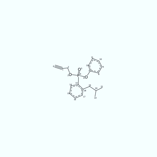 C#CCOP(=O)(Oc1ccccc1)c1ccccc1CC(C)C